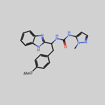 COc1ccc(CC(NC(=O)Nc2ccnn2C)c2nc3ccccc3[nH]2)cc1